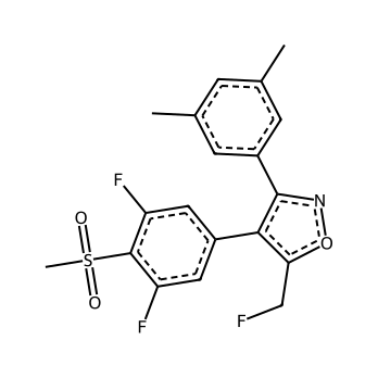 Cc1cc(C)cc(-c2noc(CF)c2-c2cc(F)c(S(C)(=O)=O)c(F)c2)c1